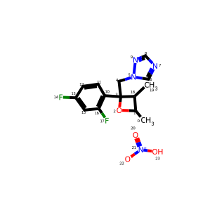 CC1OC(Cn2cncn2)(c2ccc(F)cc2F)C1C.O=[N+]([O-])O